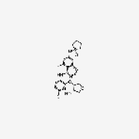 O=S1(=Nc2cc(F)c3c(Nc4ccc(Cl)nc4O[C@H]4COC[C@@H]4O)ncnc3c2)CCCC1